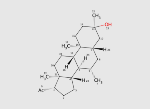 CC(=O)[C@H]1CC[C@H]2[C@@H]3[C@@H](C)C[C@H]4C[C@](C)(O)CC[C@]4(C)[C@H]3CC[C@]12C